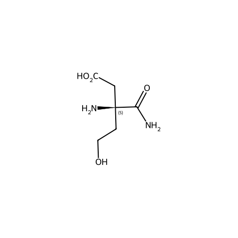 NC(=O)[C@](N)(CCO)CC(=O)O